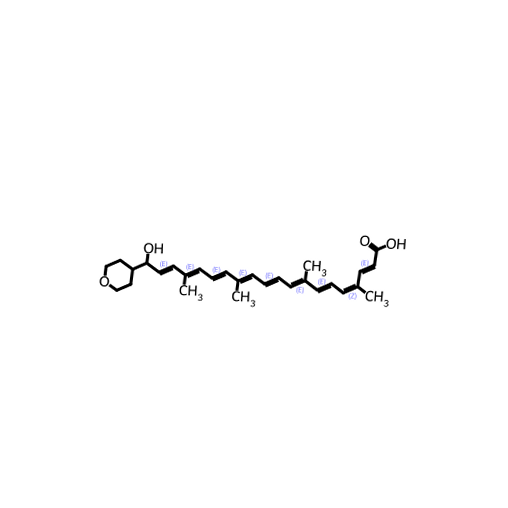 CC(=C/C=C/C(C)=C/C=C/C=C(C)/C=C/C=C(C)/C=C/C(O)C1CCOCC1)/C=C/C(=O)O